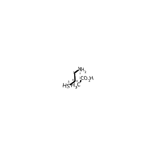 CC(=O)O.NCCS